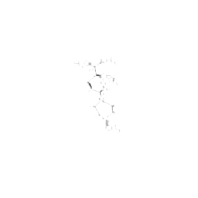 C=C(/C=C\C(=N/C)N1CCN(C)CC1)C(C)C